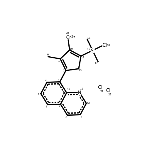 CC1=C(c2cccc3cccnc23)CC([Si](C)(C)Cl)=[C]1[Cr+2].[Cl-].[Cl-]